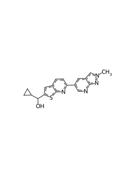 Cn1cc2cc(-c3ccc4cc(C(O)C5CC5)sc4n3)cnc2n1